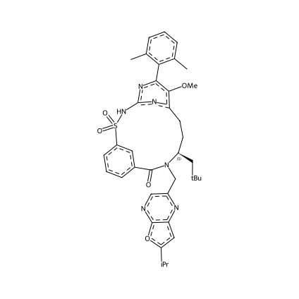 COc1c2nc(nc1-c1c(C)cccc1C)NS(=O)(=O)c1cccc(c1)C(=O)N(Cc1cnc3oc(C(C)C)cc3n1)[C@H](CC(C)(C)C)CC2